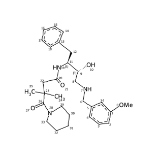 COc1cccc(CNC[C@@H](O)[C@H](Cc2ccccc2)NC(=O)CC(C)(C)C(=O)N2CCCCC2)c1